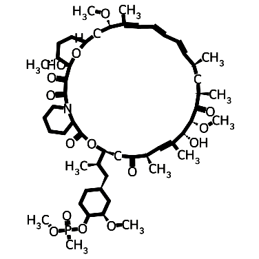 CO[C@H]1C[C@@H]2CC[C@@H](C)[C@@](O)(O2)C(=O)C(=O)N2CCCCC2C(=O)O[C@H]([C@H](C)C[C@@H]2CCC(OP(C)(=O)OC)[C@H](OC)C2)CC(=O)[C@H](C)/C=C(\C)[C@@H](O)[C@@H](OC)C(=O)[C@H](C)C[C@H](C)/C=C/C=C/C=C/1C